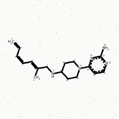 C=C/C=C\C=C(/C)CNC1CCN(c2ccnc(N)n2)CC1